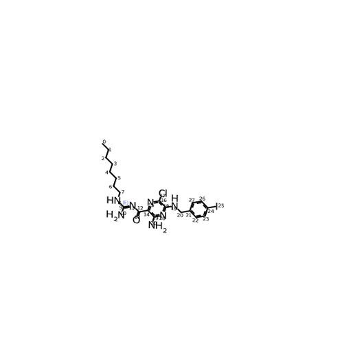 CCCCCCCCN/C(N)=N/C(=O)c1nc(Cl)c(NCc2ccc(I)cc2)nc1N